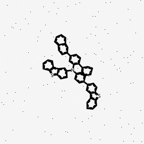 c1ccc(-c2ccc(-c3ccc4ccccc4c3)cc2N(c2ccc(-c3ccc4sc5ccccc5c4c3)cc2)c2ccc3sc4ccccc4c3c2)cc1